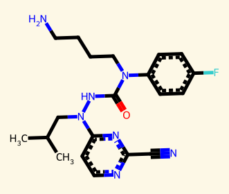 CC(C)CN(NC(=O)N(CCCCN)c1ccc(F)cc1)c1ccnc(C#N)n1